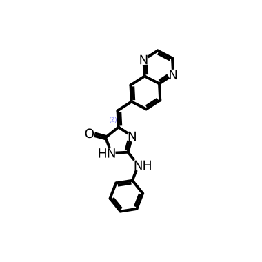 O=C1NC(Nc2ccccc2)=N/C1=C\c1ccc2nccnc2c1